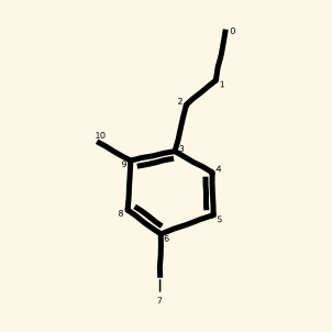 CCCc1ccc(I)cc1C